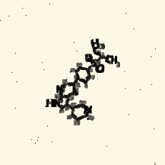 CC(C)S(=O)(=O)c1ccc(-c2cnc3[nH]cc(-c4cccnc4)c3n2)cc1